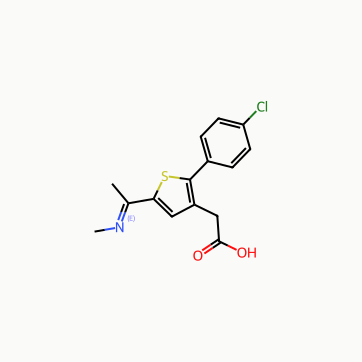 C/N=C(\C)c1cc(CC(=O)O)c(-c2ccc(Cl)cc2)s1